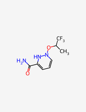 CC(ON1C=CC=C(C(N)=O)N1)C(F)(F)F